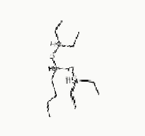 CCCC[SiH](O[SiH](CC)CC)O[SiH](CC)CC